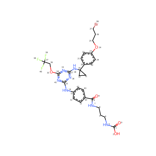 O=C(O)NCCCNC(=O)c1ccc(Nc2nc(NC3(c4ccc(OCCCBr)cc4)CC3)nc(OCC(F)(F)F)n2)cc1